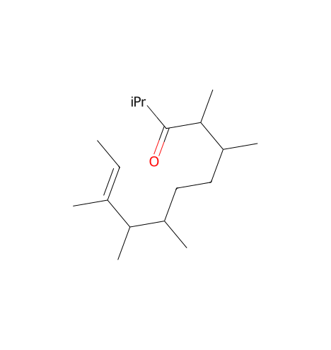 C/C=C(\C)C(C)C(C)CCC(C)C(C)C(=O)C(C)C